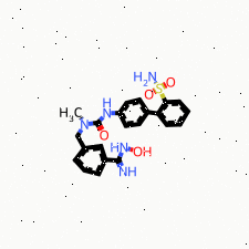 CN(Cc1cccc(C(=N)NO)c1)C(=O)Nc1ccc(-c2ccccc2S(N)(=O)=O)cc1